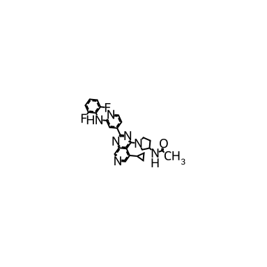 CC(=O)NC1CCN(c2nc(-c3ccnc(Nc4c(F)cccc4F)c3)nc3cncc(C4CC4)c23)C1